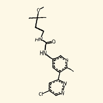 COC(C)(C)CCNC(=O)Nc1cnc(C)c(-c2cc(Cl)cnn2)c1